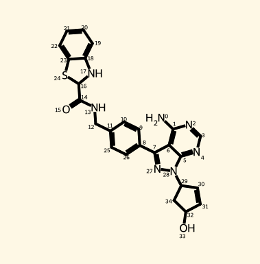 Nc1ncnc2c1c(-c1ccc(CNC(=O)C3Nc4ccccc4S3)cc1)nn2C1C=CC(O)C1